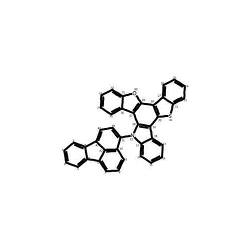 c1ccc2c(c1)-c1cccc3c(-n4c5ccccc5c5c6sc7ccccc7c6c6oc7ccccc7c6c54)ccc-2c13